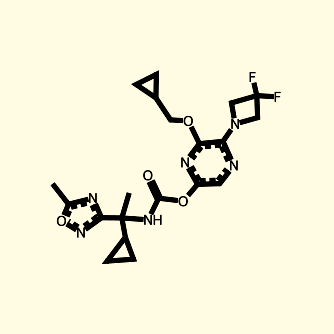 Cc1nc(C(C)(NC(=O)Oc2cnc(N3CC(F)(F)C3)c(OCC3CC3)n2)C2CC2)no1